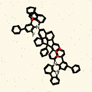 Fc1cc(-c2ccccc2)cc(-c2ccccc2)c1N(c1ccc2c3c(ccc2c1)-c1ccc2cc(N(c4c(F)cc(-c5ccccc5)cc4-c4ccccc4)c4cccc5c4oc4ccccc45)ccc2c1C3(c1ccccc1)c1ccccc1)c1cccc2c1oc1ccccc12